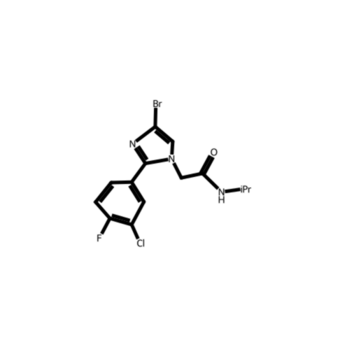 CC(C)NC(=O)Cn1cc(Br)nc1-c1ccc(F)c(Cl)c1